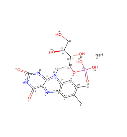 Cc1cc2nc3c(=O)[nH]c(=O)nc-3n(C[C@@H](OP(=O)(O)O)[C@@H](O)[C@@H](O)CO)c2cc1C.[NaH]